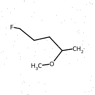 [CH2]C(CCCF)OC